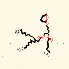 CCCCCCCCC(CCCCCCCC)CC(=O)OCC(CCCCOC1CCCCO1)COC(=O)CCCCC